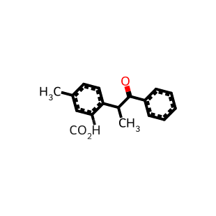 Cc1ccc(C(C)C(=O)c2ccccc2)c(C(=O)O)c1